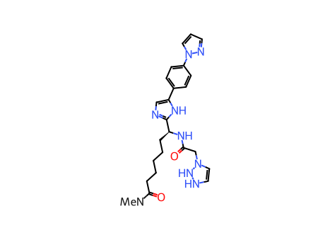 CNC(=O)CCCCC[C@H](NC(=O)CN1C=CNN1)c1ncc(-c2ccc(-n3cccn3)cc2)[nH]1